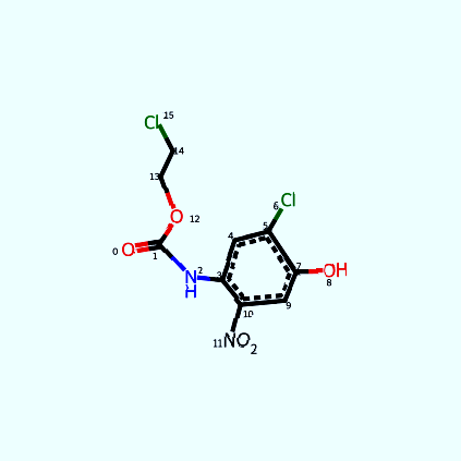 O=C(Nc1cc(Cl)c(O)cc1[N+](=O)[O-])OCCCl